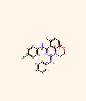 Cc1cccc(C)c1/C(=N\C(=N/c1ccccc1)N1CCOCC1)Nc1ccc(F)cc1